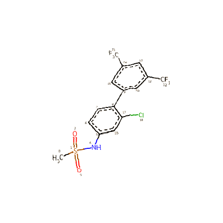 CS(=O)(=O)Nc1ccc(-c2cc(C(F)(F)F)cc(C(F)(F)F)c2)c(Cl)c1